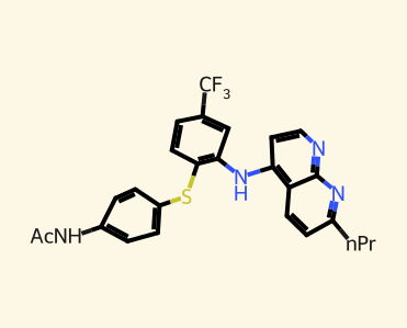 CCCc1ccc2c(Nc3cc(C(F)(F)F)ccc3Sc3ccc(NC(C)=O)cc3)ccnc2n1